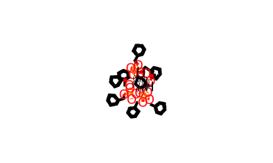 CC1(C)O[C@@H]2[C@H](O1)[C@@H](OP(=O)(OCc1ccccc1)OCc1ccccc1)[C@H](OP(=O)(OCc1ccccc1)OCc1ccccc1)[C@@H](OCc1ccccc1)[C@@H]2OP(=O)(OCc1ccccc1)OCc1ccccc1